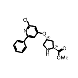 COC(=O)[C@@H]1C[C@@H](Oc2cc(Cl)nc(-c3ccccc3)c2)CN1